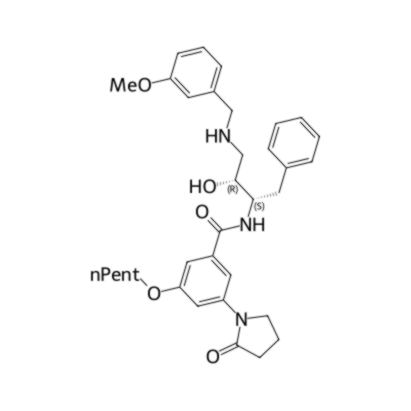 CCCCCOc1cc(C(=O)N[C@@H](Cc2ccccc2)[C@H](O)CNCc2cccc(OC)c2)cc(N2CCCC2=O)c1